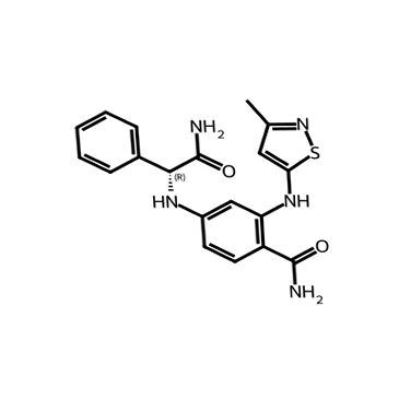 Cc1cc(Nc2cc(N[C@@H](C(N)=O)c3ccccc3)ccc2C(N)=O)sn1